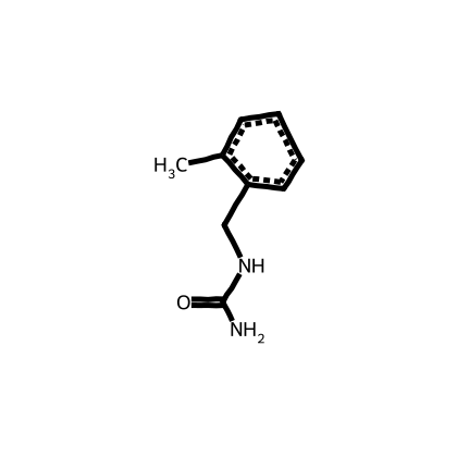 Cc1ccccc1CNC(N)=O